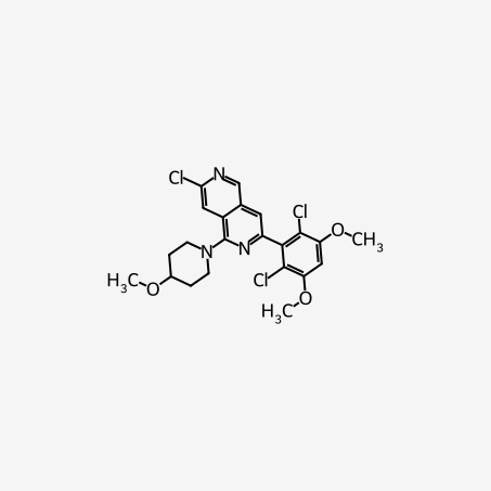 COc1cc(OC)c(Cl)c(-c2cc3cnc(Cl)cc3c(N3CCC(OC)CC3)n2)c1Cl